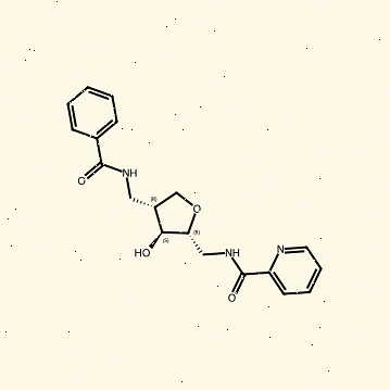 O=C(NC[C@@H]1CO[C@H](CNC(=O)c2ccccn2)[C@H]1O)c1ccccc1